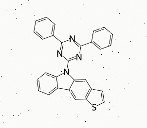 c1ccc(-c2nc(-c3ccccc3)nc(-n3c4ccccc4c4cc5sccc5cc43)n2)cc1